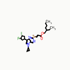 CCCCC(CC)COC(=O)CCSc1ncc2c(n1)c(C1C[C@@H](F)[C@@H](F)C1)cn2C1CC1